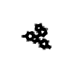 CC1COc2c(-c3ccnc4ccsc34)c(-c3ccc(F)cn3)nn2C1